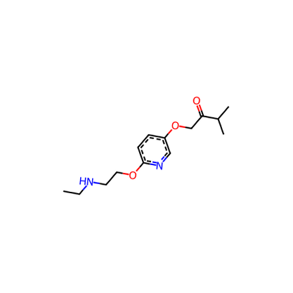 CCNCCOc1ccc(OCC(=O)C(C)C)cn1